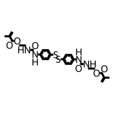 C=C(C)C(=O)OCCNC(=O)Nc1ccc(SSc2ccc(NC(=O)NCCOC(=O)C(=C)C)cc2)cc1